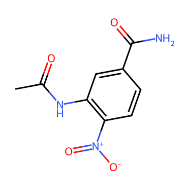 CC(=O)Nc1cc(C(N)=O)ccc1[N+](=O)[O-]